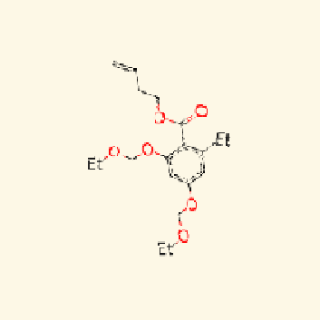 C=CCCOC(=O)c1c(CC)cc(OCOCC)cc1OCOCC